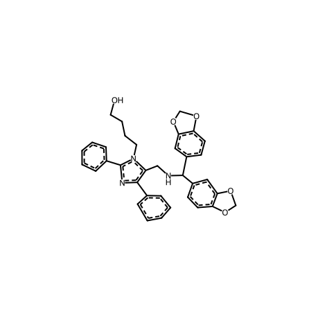 OCCCCn1c(-c2ccccc2)nc(-c2ccccc2)c1CNC(c1ccc2c(c1)OCO2)c1ccc2c(c1)OCO2